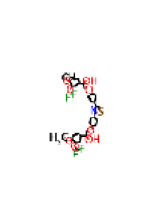 COc1ccc(C(O)COc2ccc(-c3csc(-c4ccc(OCC(O)c5ccc(OC)c(OC(F)F)c5)cc4)n3)cc2)cc1OC(F)F